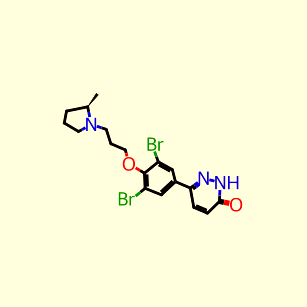 C[C@@H]1CCCN1CCCOc1c(Br)cc(-c2ccc(=O)[nH]n2)cc1Br